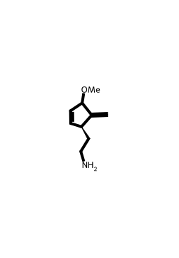 C=C1C(OC)C=C[C@@H]1CCN